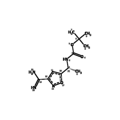 C[C@@H](NC(=O)OC(C)(C)C)c1cc(C(=N)N)no1